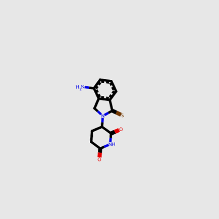 Nc1cccc2c1CN(C1CCC(=O)NC1=O)C2=S